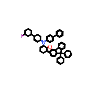 IC1CCCC(C2C=CC(N(C3=CCCc4c3oc3c5c(ccc43)C(C3=CC=CCC3)(C3=CC=CCC3)c3ccccc3-5)c3ccc(-c4ccccc4)cc3)CC2)C1